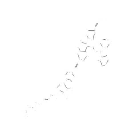 CC#Cc1ccc(-c2ccc3cc(C#Cc4ccc(-c5ccc(SC/C=C/CCOCC6CO6)c(Cl)c5Cl)cc4)ccc3c2/C=N/N(c2ccncc2)c2ccncc2)cc1